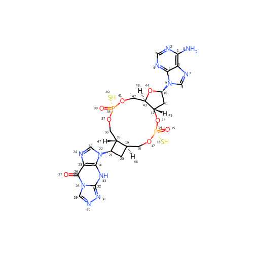 Nc1ncnc2c1ncn2[C@H]1C[C@@H]2O[P@](=O)(S)OC[C@H]3C[C@@H](n4cnc5c(=O)n6cnnc6[nH]c54)[C@@H]3CO[P@](=O)(S)OC[C@H]2O1